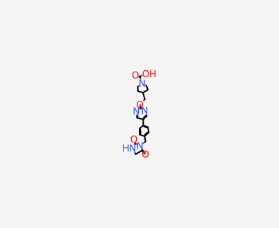 O=C(O)N1CCC(COc2ncc(-c3ccc(CN4C(=O)CNC4=O)cc3)cn2)CC1